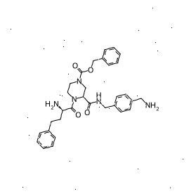 NCc1ccc(CNC(=O)[C@@H]2CN(C(=O)OCc3ccccc3)CCN2C(=O)[C@H](N)CCc2ccccc2)cc1